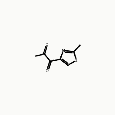 CC(=O)C(=O)c1csc(C)n1